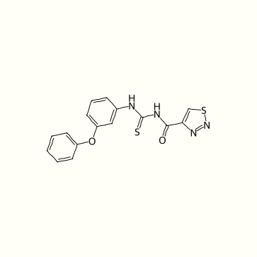 O=C(NC(=S)Nc1cccc(Oc2ccccc2)c1)c1csnn1